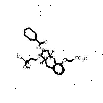 CC[C@H](O)CC[C@@H]1[C@H]2Cc3cccc(OCC(=O)O)c3C[C@H]2C[C@H]1OC(=O)C1CCCCC1